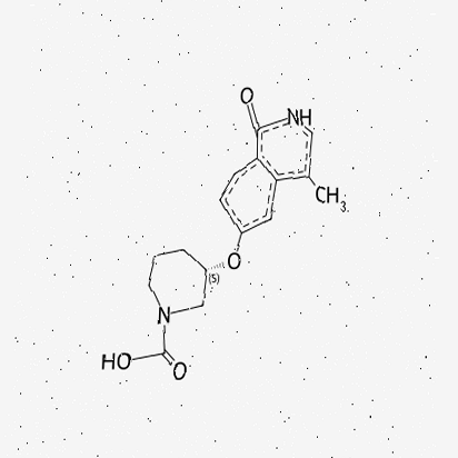 Cc1c[nH]c(=O)c2ccc(O[C@H]3CCCN(C(=O)O)C3)cc12